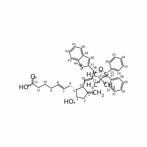 C=C1C[C@H](O)[C@H](CC=CCCCC(=O)O)[C@H]1C=C[C@@H](O[Si](c1ccccc1)(c1ccccc1)C(C)(C)C)c1cc2ccccc2s1